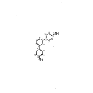 Sc1ccc(-c2cccc(-c3ccc(S)cc3)c2)cc1